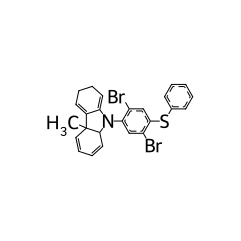 CC12C=CC=CC1N(c1cc(Br)c(Sc3ccccc3)cc1Br)C1=CCCC=C12